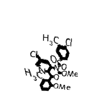 COCN(c1cc(Cl)cnc1C(=O)c1c(C)cccc1OC)S(=O)(=O)c1ccc(Cl)c(C)c1